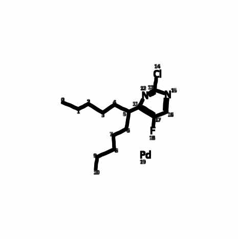 CCCCCC(CCCCC)c1nc(Cl)ncc1F.[Pd]